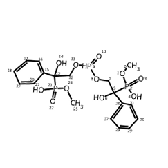 COP(=O)(O)C(O)(CO[PH](=O)OCC(O)(c1ccccc1)P(=O)(O)OC)c1ccccc1